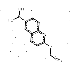 CCOc1ccc2cc(B(O)O)ccc2n1